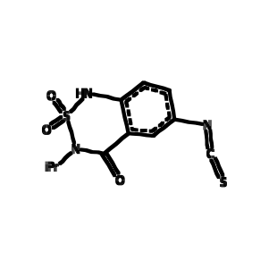 CC(C)N1C(=O)c2cc(N=C=S)ccc2NS1(=O)=O